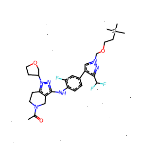 CC(=O)N1CCc2c(c(Nc3ccc(-c4cn(COCC[Si](C)(C)C)nc4C(F)F)cc3F)nn2C2CCOC2)C1